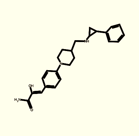 NC(=O)C(O)=Cc1ccc(N2CCC(CNC3CC3c3ccccc3)CC2)cc1